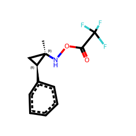 C[C@@]1(NOC(=O)C(F)(F)F)C[C@@H]1c1ccccc1